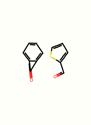 O=Cc1cccs1.O=c1c2ccccc12